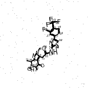 CC1C(=O)c2c(nn(C)c2CC(=O)Nc2nc(-c3ccc(C(F)(F)F)c(F)c3)cs2)C(C)[NH+]1[O-]